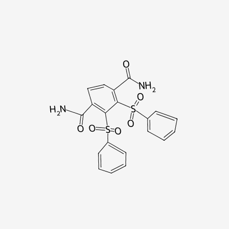 NC(=O)c1ccc(C(N)=O)c(S(=O)(=O)c2ccccc2)c1S(=O)(=O)c1ccccc1